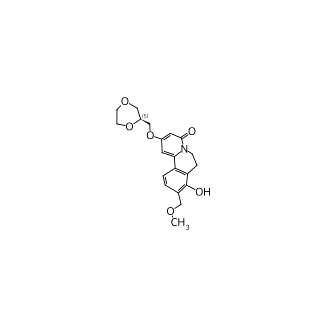 COCc1ccc2c(c1O)CCn1c-2cc(OC[C@@H]2COCCO2)cc1=O